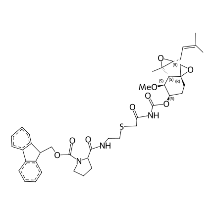 CO[C@H]1[C@H](C2(C)O[C@@H]2CC=C(C)C)[C@]2(CC[C@H]1OC(=O)NC(=O)CSCCNC(=O)C1CCCN1C(=O)OCC1c3ccccc3-c3ccccc31)CO2